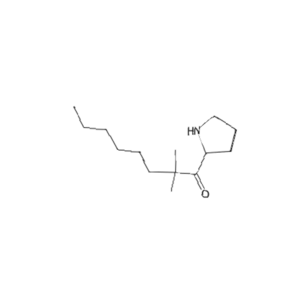 CCCCCCC(C)(C)C(=O)C1CCCN1